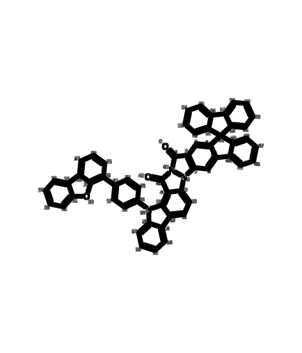 O=c1c2cc3c(cc2n2c4ccc5c6ccccc6n(-c6ccc(-c7cccc8c7oc7ccccc78)cc6)c5c4c(=O)n12)-c1ccccc1C31c2ccccc2-c2ccccc21